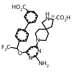 Nc1nc(OC(c2ccc(-c3cccc(C(=O)O)c3)cc2)C(F)(F)F)cc(N2CCC3(CC2)CN[C@H](C(=O)O)C3)n1